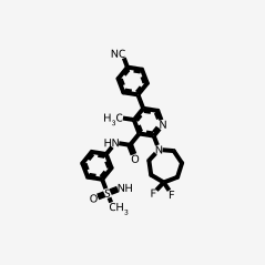 Cc1c(-c2ccc(C#N)cc2)cnc(N2CCCC(F)(F)CC2)c1C(=O)Nc1cccc(S(C)(=N)=O)c1